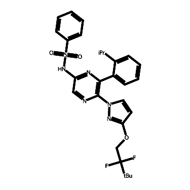 CC(C)c1ccccc1-c1nc(NS(=O)(=O)c2ccccc2)cnc1-n1ccc(OCC(F)(F)C(C)(C)C)n1